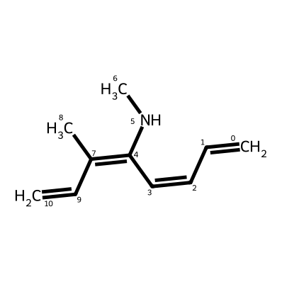 C=C/C=C\C(NC)=C(\C)C=C